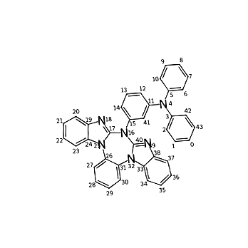 c1ccc(N(c2ccccc2)c2cccc(-n3c4nc5ccccc5n4c4ccccc4n4c5ccccc5nc34)c2)cc1